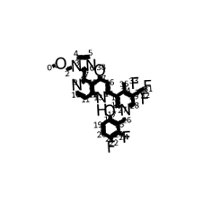 COCn1ccnc1-c1nccc2[nH]c(-c3c(Oc4ccc(F)c(F)c4C)ncc(C(F)(F)F)c3C)cc(=O)c12